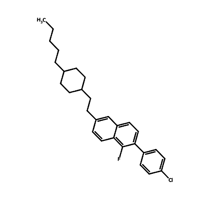 CCCCCC1CCC(CCc2ccc3c(F)c(-c4ccc(Cl)cc4)ccc3c2)CC1